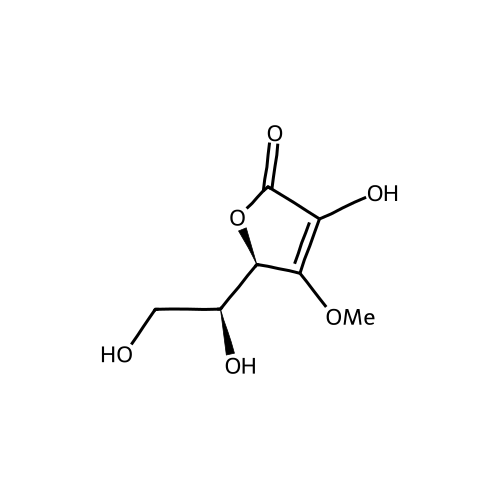 COC1=C(O)C(=O)O[C@@H]1[C@@H](O)CO